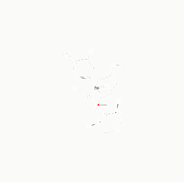 COc1ccc(CN2[C@@H]3COC[C@H]2C[C@@H](NC(=O)c2cc(Cl)c(N)cc2OC)C3)cc1